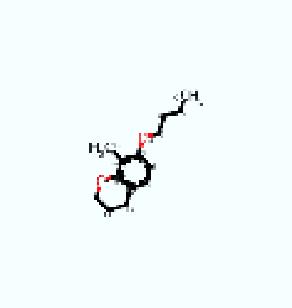 CCCCOc1ccc2c(c1C)OCCC2